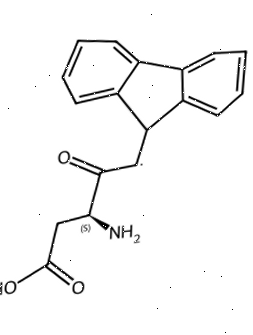 N[C@@H](CC(=O)O)C(=O)[CH]C1c2ccccc2-c2ccccc21